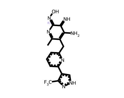 CC1=N/C(=N/O)C(=N)C(N)=C1Cc1cccc(-c2c[nH]nc2C(F)(F)F)n1